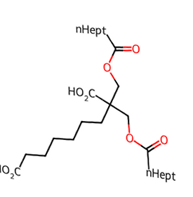 CCCCCCCC(=O)OCC(CCCCCCC(=O)O)(COC(=O)CCCCCCC)C(=O)O